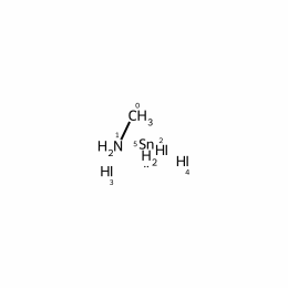 CN.I.I.I.[SnH2]